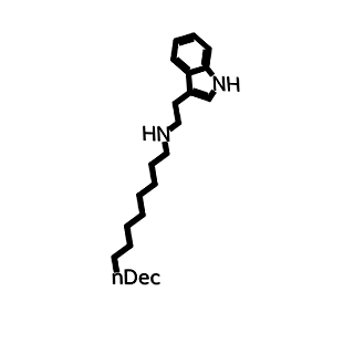 CCCCCCCCCCCCCCCCCCNCCc1c[nH]c2ccccc12